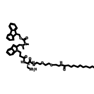 BCCCCCCCCCC(=O)NCCOCCOCCNC(=O)[C@H](CS(=O)(=O)O)NC(=O)CCn1c(CN(C)N(C)C(=O)OCC2c3ccccc3-c3ccccc32)cc2ccccc21